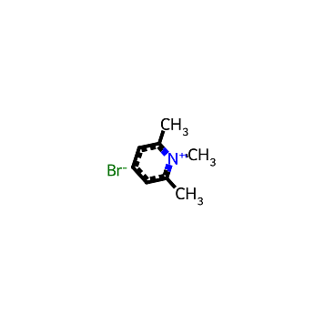 Cc1cccc(C)[n+]1C.[Br-]